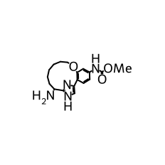 COC(=O)Nc1ccc2c(c1)OCCCCCC[C@H](N)c1nc-2c[nH]1